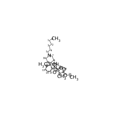 CCCCCCN1CCC(C)(c2ccccc2NS(=O)(=O)C(C)C(=O)OCC)C(C)C1